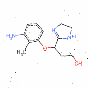 Cc1c(N)cccc1OC(CCO)C1=NCCN1